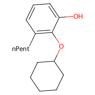 CCCCCc1cccc(O)c1OC1CCCCC1